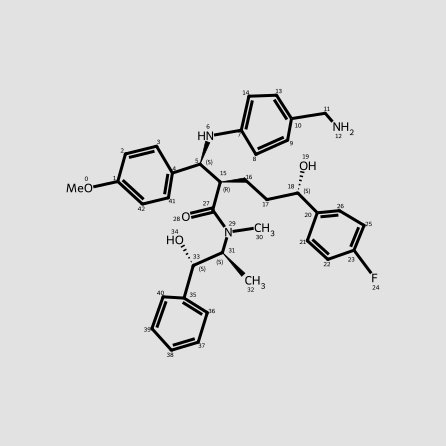 COc1ccc([C@@H](Nc2ccc(CN)cc2)[C@@H](CC[C@H](O)c2ccc(F)cc2)C(=O)N(C)[C@@H](C)[C@@H](O)c2ccccc2)cc1